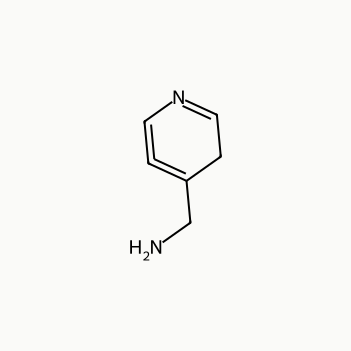 NCC1=C=CN=CC1